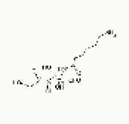 NCCCCCC(=O)N[C@](O)(C=O)[C@@H](O)[C@@H](O)[C@H](O)CO